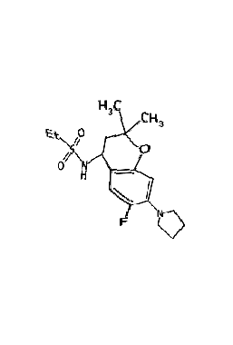 CCS(=O)(=O)NC1CC(C)(C)Oc2cc(N3CCCC3)c(F)cc21